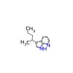 CCCC(C)c1c[nH]c2ncccc12